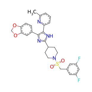 Cc1cccc(-c2[nH]c(C3CCN(S(=O)(=O)Cc4cc(F)cc(F)c4)CC3)nc2-c2ccc3c(c2)OCO3)n1